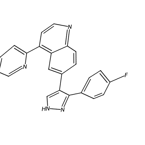 Fc1ccc(-c2n[nH]cc2-c2ccc3nccc(-c4ccccn4)c3c2)cc1